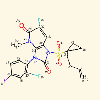 C=CCC1(S(=O)(=O)n2c(=O)n(-c3ccc(I)cc3F)c3c2cc(F)c(=O)n3C)CC1